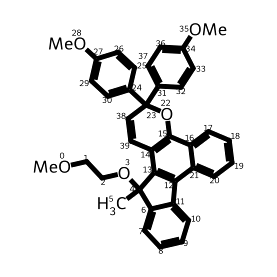 COCCOC1(C)c2ccccc2-c2c1c1c(c3ccccc23)OC(c2ccc(OC)cc2)(c2ccc(OC)cc2)C=C1